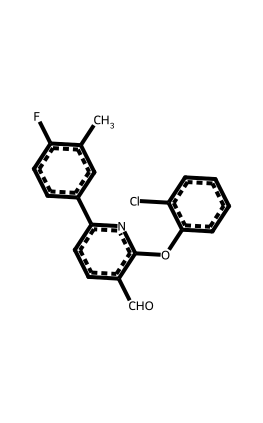 Cc1cc(-c2ccc(C=O)c(Oc3ccccc3Cl)n2)ccc1F